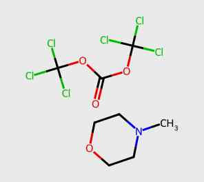 CN1CCOCC1.O=C(OC(Cl)(Cl)Cl)OC(Cl)(Cl)Cl